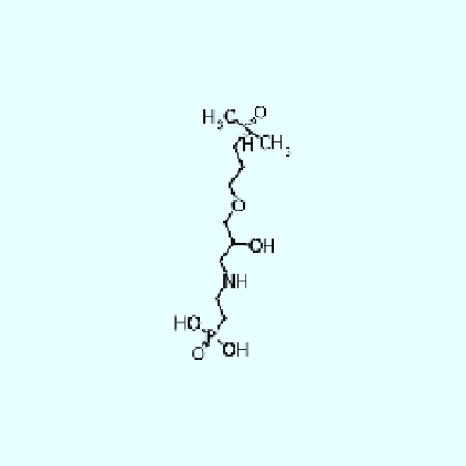 C[SH](C)(=O)CCCOCC(O)CNCCP(=O)(O)O